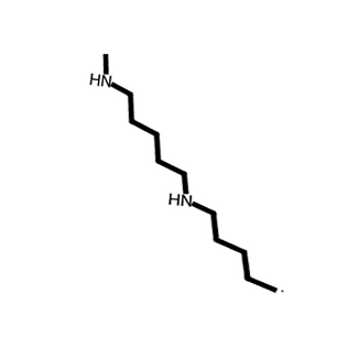 [CH2]CCCCNCCCCCNC